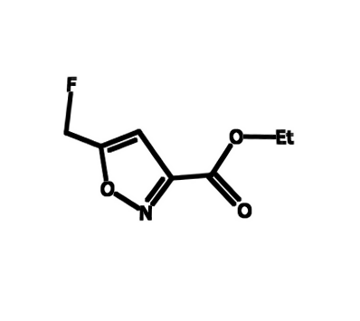 CCOC(=O)c1cc(CF)on1